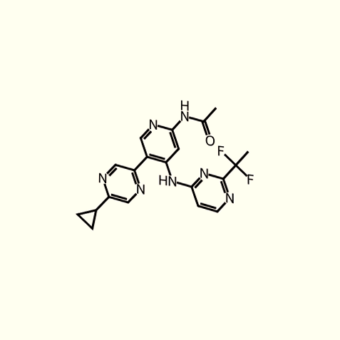 CC(=O)Nc1cc(Nc2ccnc(C(C)(F)F)n2)c(-c2cnc(C3CC3)cn2)cn1